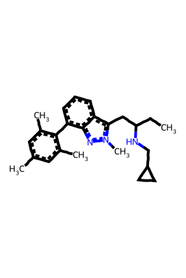 CCC(Cc1c2cccc(-c3c(C)cc(C)cc3C)c2nn1C)NCC1CC1